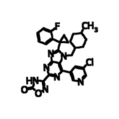 CC1CCC(Cn2c(C3(c4ccccc4F)CC3)nc3nc(-c4noc(=O)[nH]4)nc(-c4cncc(Cl)c4)c32)CC1